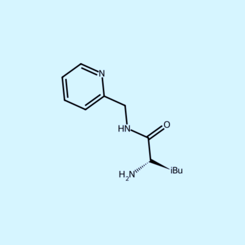 CC[C@H](C)[C@H](N)C(=O)NCc1ccccn1